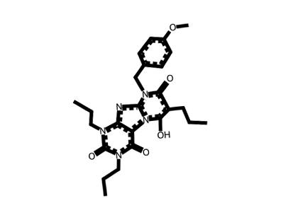 CCCc1c(O)n2c3c(=O)n(CCC)c(=O)n(CCC)c3nc2n(Cc2ccc(OC)cc2)c1=O